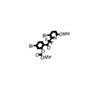 COC(=O)Oc1cc(Br)ccc1C(=O)C(F)(F)c1nc(OC)ccc1Br